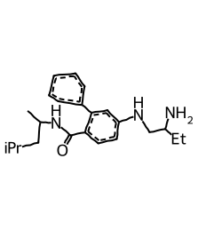 CCC(N)CNc1ccc(C(=O)NC(C)CC(C)C)c(-c2ccccc2)c1